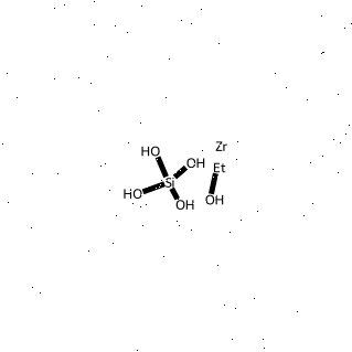 CCO.O[Si](O)(O)O.[Zr]